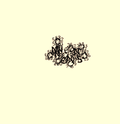 Cc1cc(-n2c3ccccc3c3c4sc5ccccc5c4c4c(c5ccccc5n4-c4ccccc4)c32)c2oc3ccccc3c2c1-c1nc(-c2ccccc2)nc(-c2ccccc2)n1